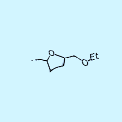 [CH2]C1CCC(COCC)O1